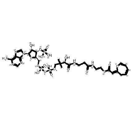 CC(C)(COP(=O)(O)OP(=O)(O)OC[C@H]1O[C@@H](n2cnc3c(N)ncnc32)[C@H](O)[C@@H]1OP(=O)(O)O)[C@@H](O)C(=O)NCCC(=O)NCCSC(=O)/C=C1/CC=CC=CO1